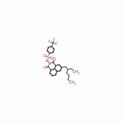 CCCCC(CC)Cc1cc2c3c(cccc3c1)C(=O)N(OS(=O)(=O)c1ccc(C(F)(F)F)cc1)C2=O